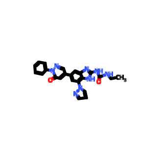 CCNC(=O)Nc1nc2cc(-c3cnn(-c4ccccc4)c(=O)c3)cc(-n3cccn3)c2[nH]1